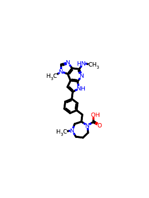 CNc1nc2[nH]c(-c3cccc(CC4CN(C)CCCN4C(=O)O)c3)cc2c2c1ncn2C